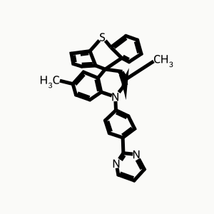 Cc1ccc2c(c1)C1(c3ccccc3Sc3ccccc31)c1cc(C)ccc1N2c1ccc(-c2ncccn2)cc1